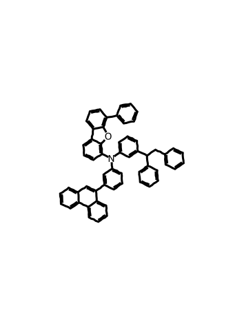 c1ccc(CC(c2ccccc2)c2cccc(N(c3cccc(-c4cc5ccccc5c5ccccc45)c3)c3cccc4c3oc3c(-c5ccccc5)cccc34)c2)cc1